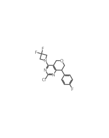 Fc1ccc(C2COCc3c2nc(Cl)nc3N2CC(F)(F)C2)cc1